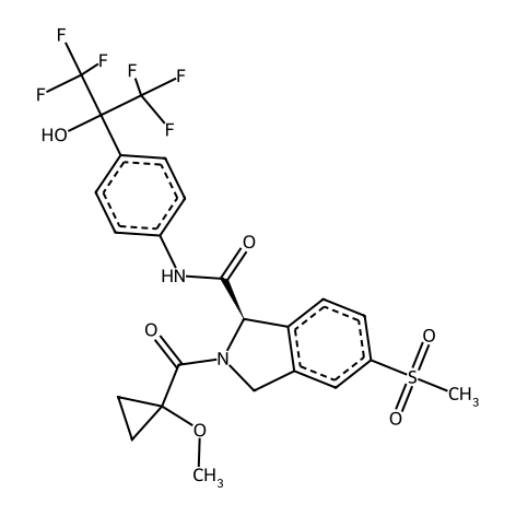 COC1(C(=O)N2Cc3cc(S(C)(=O)=O)ccc3[C@@H]2C(=O)Nc2ccc(C(O)(C(F)(F)F)C(F)(F)F)cc2)CC1